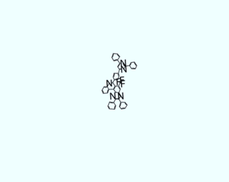 FC(F)(F)c1cc2nc(-c3ccccc3)c(-c3ccccc3)nc2c2c1c(-c1ccc(-c3cc(-c4ccccc4)nc(-c4ccccc4)n3)cc1)nc1ccccc12